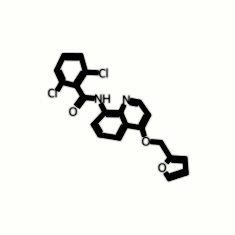 O=C(Nc1cccc2c(OCc3ccco3)ccnc12)c1c(Cl)cccc1Cl